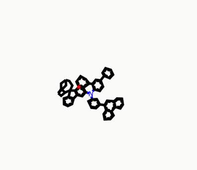 c1ccc(-c2ccc(N(c3cccc(-c4cc5ccccc5c5ccccc45)c3)c3ccc4c(c3)-c3ccccc3C43CCC4CC5CC3C5C4)c(-c3ccccc3)c2)cc1